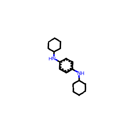 c1cc(NC2CCCCC2)ccc1NC1CCCCC1